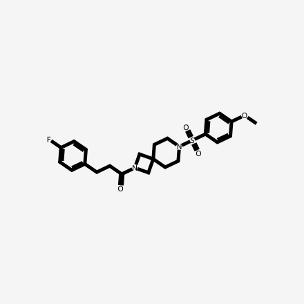 COc1ccc(S(=O)(=O)N2CCC3(CC2)CN(C(=O)CCc2ccc(F)cc2)C3)cc1